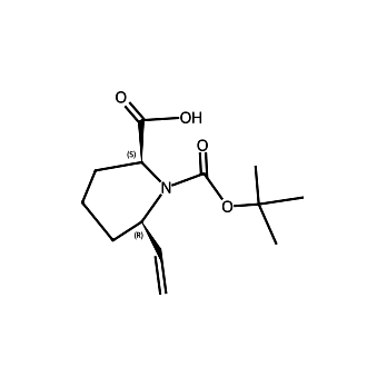 C=C[C@H]1CCC[C@@H](C(=O)O)N1C(=O)OC(C)(C)C